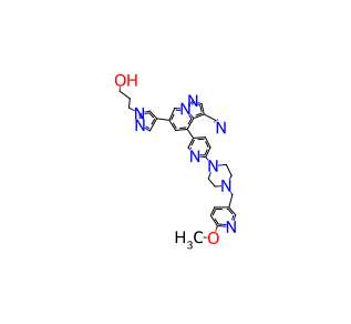 COc1ccc(CN2CCN(c3ccc(-c4cc(-c5cnn(CCCO)c5)cn5ncc(C#N)c45)cn3)CC2)cn1